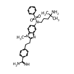 Cn1c(CCc2ccc(C(=N)N)cc2)nc2cc(N(CCCC(C)(C)N)S(=O)(=O)c3ccccc3)ccc21